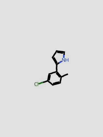 Cc1ccc(Cl)cc1-c1ccc[nH]1